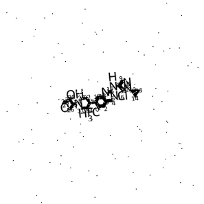 Cc1cc2cnc(Nc3cnn(C4CC4)c3Cl)nc2cc1[C@@H]1CCN(C2COC[C@H]2O)C[C@H]1F